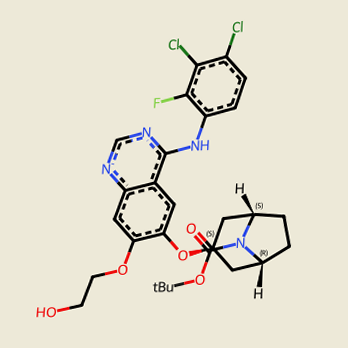 CC(C)(C)OC(=O)N1[C@@H]2CC[C@H]1C[C@H](Oc1cc3c(Nc4ccc(Cl)c(Cl)c4F)ncnc3cc1OCCO)C2